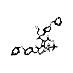 CCCN(Cc1ccc(Oc2ccccc2)cc1)C(=O)C1C(NS(=O)(=O)C(F)(F)F)C(C(=O)O)C1C(=O)N(CCC)Cc1ccc(Oc2ccccc2)cc1